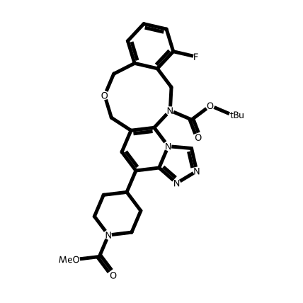 COC(=O)N1CCC(c2cc3c(n4cnnc24)N(C(=O)OC(C)(C)C)Cc2c(F)cccc2COC3)CC1